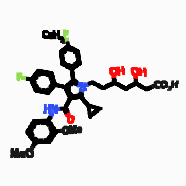 COc1ccc(NC(=O)c2c(-c3ccc(F)cc3)c(-c3ccc(F)cc3)n(CCC(O)CC(O)CC(=O)O)c2C2CC2)c(OC)c1.[CaH2]